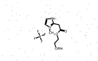 COCCOC(=O)Cc1[nH]cc[n+]1C.F[B-](F)(F)F